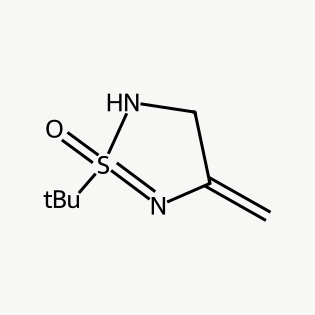 C=C1CNS(=O)(C(C)(C)C)=N1